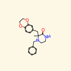 CC1(Cc2ccc3c(c2)OCCO3)C(=O)NCCN1Cc1ccccc1